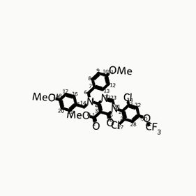 COC(=O)c1c(N(Cc2ccc(OC)cc2)Cc2ccc(OC)cc2)ncn(-c2c(Cl)cc(OC(F)(F)F)cc2Cl)c1=O